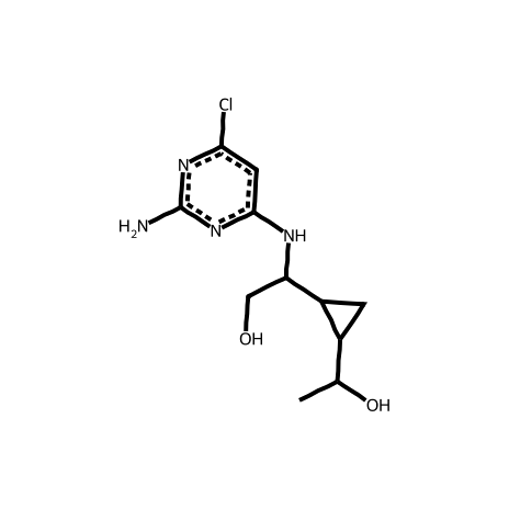 CC(O)C1CC1C(CO)Nc1cc(Cl)nc(N)n1